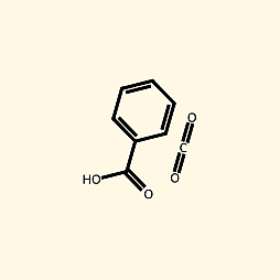 O=C(O)c1ccccc1.O=C=O